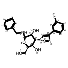 OC[C@H]1OC(NCc2ccccc2)[C@H](O)[C@@H](n2cc(-c3cccc(F)c3)nn2)[C@H]1O